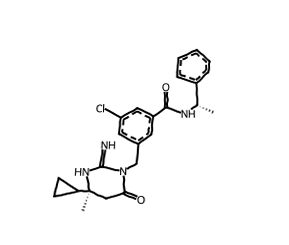 C[C@H](NC(=O)c1cc(Cl)cc(CN2C(=N)N[C@](C)(C3CC3)CC2=O)c1)c1ccccc1